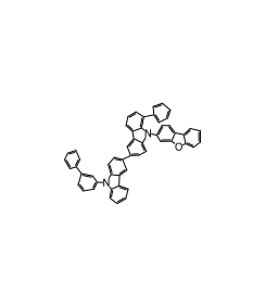 c1ccc(-c2cccc(-n3c4ccccc4c4cc(-c5ccc6c(c5)c5cccc(-c7ccccc7)c5n6-c5ccc6c(c5)oc5ccccc56)ccc43)c2)cc1